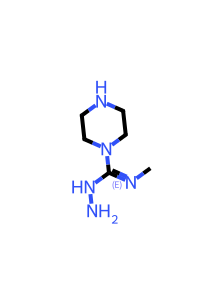 C/N=C(/NN)N1CCNCC1